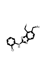 CC(=O)Cc1ccc2nc(Nc3ccccc3Cl)oc2c1CI